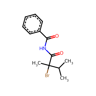 CC(C)C(C)(Br)C(=O)NC(=O)c1ccccc1